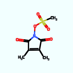 CC1=C(C)C(=O)N(OS(C)(=O)=O)C1=O